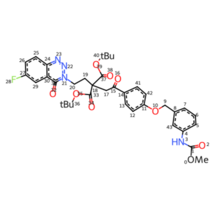 COC(=O)Nc1cccc(COc2ccc(C(=O)CC(CCn3nnc4ccc(F)cc4c3=O)(C(=O)OC(C)(C)C)C(=O)OC(C)(C)C)cc2)c1